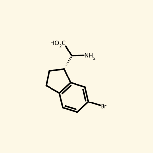 NC(C(=O)O)[C@H]1CCc2ccc(Br)cc21